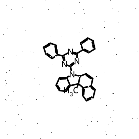 CC12c3ccccc3C=CC1N(c1nc(-c3ccccc3)nc(-c3ccccc3)n1)c1ccccc12